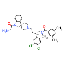 Cc1cc(C)cc(C(=O)N(C)C[C@@H](CCN2CCC3(CC2)CN(C(=O)CN)c2ccccc23)c2ccc(Cl)c(Cl)c2)c1